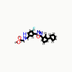 COC(=O)CNCc1ccc(F)c(-c2nnc(-c3cccc(-c4ccccc4)c3C)o2)c1